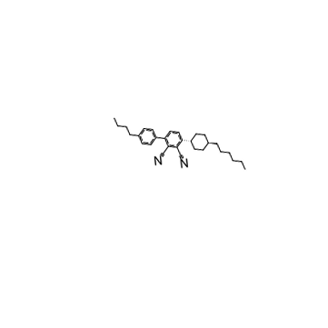 CCCCCC[C@H]1CC[C@H](c2ccc(-c3ccc(CCCC)cc3)c(C#N)c2C#N)CC1